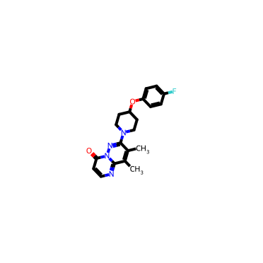 Cc1c(N2CCC(Oc3ccc(F)cc3)CC2)nn2c(=O)ccnc2c1C